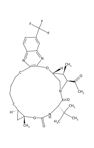 CC(=O)[C@@H]1[C@H](C)[C@@H]2CN1C(=O)[C@H](C(C)(C)C)NC(=O)O[C@]1(C)C[C@H]1CCCCCc1nc3ccc(C(F)(F)F)cc3nc1O2